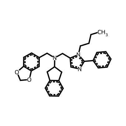 CCCCn1c(CN(Cc2ccc3c(c2)OCO3)C2Cc3ccccc3C2)cnc1-c1ccccc1